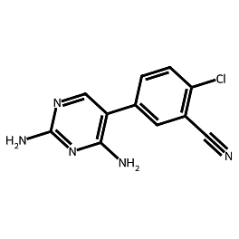 N#Cc1cc(-c2cnc(N)nc2N)ccc1Cl